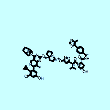 Cc1ncsc1-c1ccc([C@H](C)NC(=O)[C@@H]2C[C@@H](O)CN2C(=O)[C@H](c2cc(OC[C@@H]3CC[C@]4(COc5nc(N6CC7CCC(C6)N7)c6cnc(-c7cc(O)cc(Cl)c7C7CC7)c(F)c6n5)CCCN34)no2)C(C)C)cc1